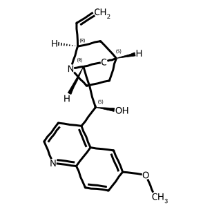 C=C[C@H]1C[C@@H]2CCN1[C@@H]([C@@H](O)c1ccnc3ccc(OC)cc13)C2